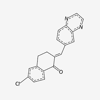 O=C1/C(=C/c2ccc3nccnc3c2)CCc2cc(Cl)ccc21